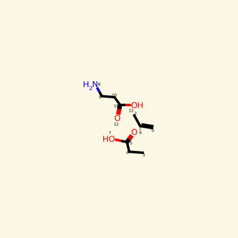 C=CC.CCC(=O)O.NCCC(=O)O